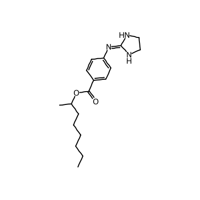 CCCCCCC(C)OC(=O)c1ccc(N=C2NCCN2)cc1